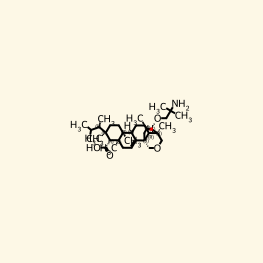 CC(C)[C@@H](C)[C@@]1(C)CC[C@]2(C)[C@H]3CC[C@@H]4[C@@]5(COC[C@]4(C)[C@@H](OCC(C)(C)N)[C@H](C)C5)C3=CC[C@@]2(C)[C@@H]1C(=O)O